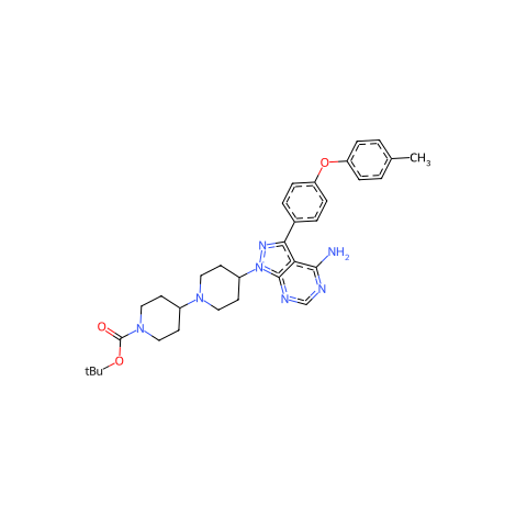 Cc1ccc(Oc2ccc(-c3nn(C4CCN(C5CCN(C(=O)OC(C)(C)C)CC5)CC4)c4ncnc(N)c34)cc2)cc1